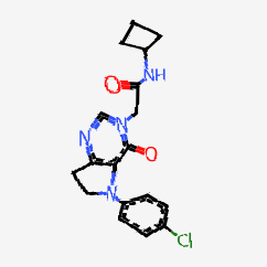 O=C(Cn1cnc2c(c1=O)N(c1ccc(Cl)cc1)CC2)NC1CCC1